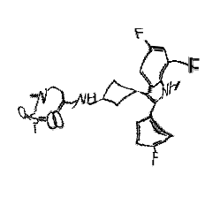 CN(CC(=O)NC[C@H]1C[C@@H](c2c(-c3ccc(F)cc3)[nH]c3c(F)cc(F)cc32)C1)S(C)(=O)=O